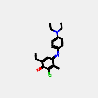 CCC1=CC(=Nc2ccc(N(CC)CC)cc2)C(C)=C(Cl)C1=O